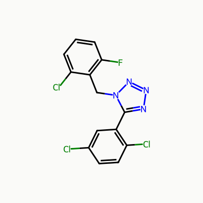 Fc1cccc(Cl)c1Cn1nnnc1-c1cc(Cl)ccc1Cl